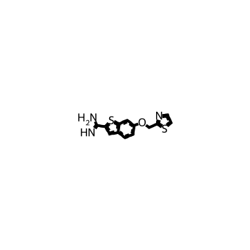 N=C(N)c1cc2ccc(OCc3nccs3)cc2s1